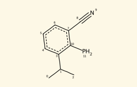 CC(C)c1cccc(C#N)c1P